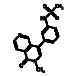 Cn1cc(-c2cccc(NS(C)(=O)=O)c2)c2cnccc2c1=O